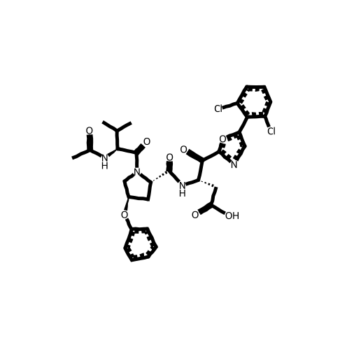 CC(=O)N[C@H](C(=O)N1C[C@H](Oc2ccccc2)C[C@H]1C(=O)N[C@@H](CC(=O)O)C(=O)c1ncc(-c2c(Cl)cccc2Cl)o1)C(C)C